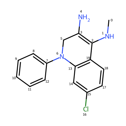 CNC1=C(N)CN(c2ccccc2)c2cc(Cl)ccc21